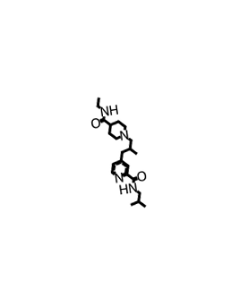 CCNC(=O)C1CCN(CC(C)Cc2ccnc(C(=O)NCC(C)C)c2)CC1